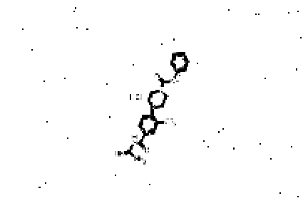 Cl.N=C(N)NC(=O)c1ccc(N2CCN(C(=O)Nc3ccccc3)CC2)c(C(F)(F)F)c1